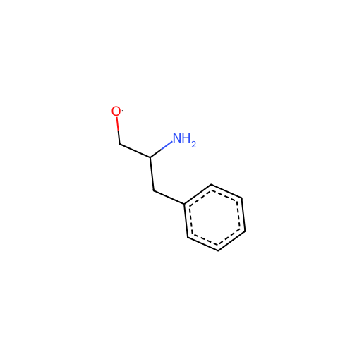 NC(C[O])Cc1ccccc1